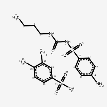 CCCCNC(=O)NS(=O)(=O)c1ccc(N)cc1.Cc1cc(S(=O)(=O)O)ccc1N